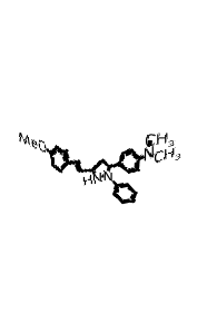 COc1ccc(C=CC2=CC(c3ccc(N(C)C)cc3)N(c3ccccc3)N2)cc1